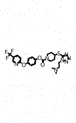 CN(C)CCn1nnnc1SC1CCN(C(=O)Oc2ccc(Oc3ccc(C(F)(F)F)cn3)cc2)CC1